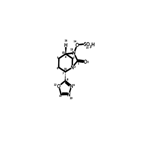 O=C1N2C[C@H](CC[C@H]2c2nnco2)N1OS(=O)(=O)O